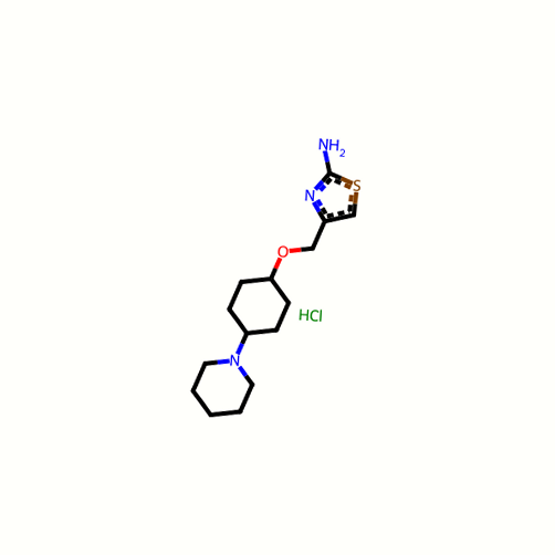 Cl.Nc1nc(COC2CCC(N3CCCCC3)CC2)cs1